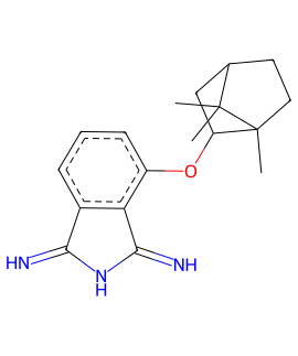 CC1(C)C2CCC1(C)C(Oc1cccc3c1C(=N)NC3=N)C2